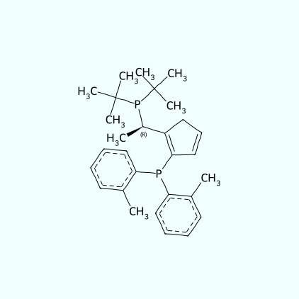 Cc1ccccc1P(C1=C([C@@H](C)P(C(C)(C)C)C(C)(C)C)CC=C1)c1ccccc1C